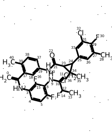 C=C(Nc1ccc(F)c(NC(=C)C(C)F)c1F)c1cc(NC(=O)C2C(c3cc(C)c(F)c(Cl)c3)C2(C)Cl)ccc1C